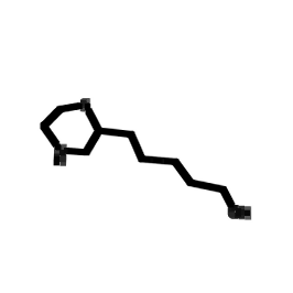 OCCCCCC1CNCCS1